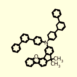 CC1(C)c2ccc(N(C3=CC=C(C4C=CC=C(c5ccccc5)C4)CC3)c3ccc(-c4cccc(-c5ccccc5)c4)cc3)cc2-c2c1ccc1c2oc2ccccc21